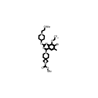 COCCN1CCC(Oc2nc(N3CCC4(CC3)CN(C(=O)OC(C)(C)C)C4)c3cc(C)c(Br)c(OCC(F)(F)F)c3n2)CC1